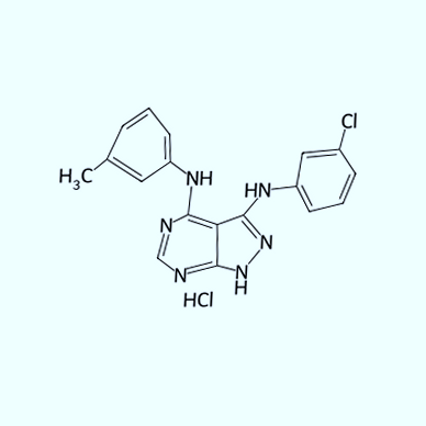 Cc1cccc(Nc2ncnc3[nH]nc(Nc4cccc(Cl)c4)c23)c1.Cl